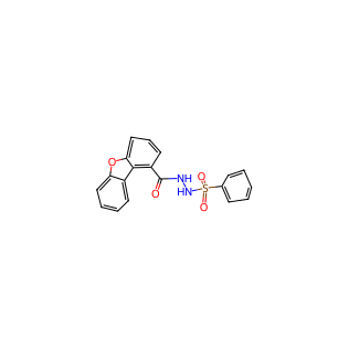 O=C(NNS(=O)(=O)c1ccccc1)c1cccc2oc3ccccc3c12